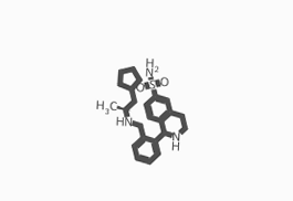 C[C@@H](CC1CCCC1)NCc1ccccc1C1NCCc2cc(S(N)(=O)=O)ccc21